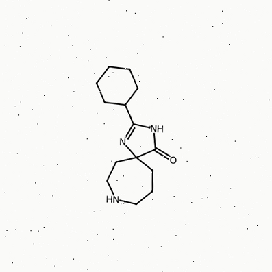 O=C1NC(C2CCCCC2)=NC12CCCNCC2